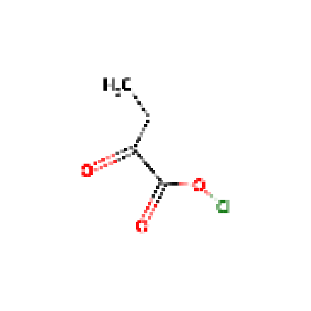 CCC(=O)C(=O)OCl